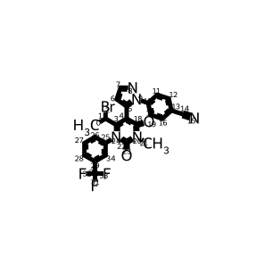 CC(Br)c1c(-c2ccnn2-c2ccc(C#N)cc2)c(=O)n(C)c(=O)n1-c1cccc(C(F)(F)F)c1